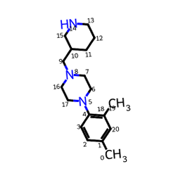 Cc1ccc(N2CCN(CC3CCCNC3)CC2)c(C)c1